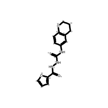 O=C(NNC(=S)Nc1ccc2c(c1)CCCO2)c1ccco1